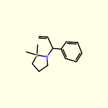 C=CC(c1ccccc1)N1CCC[Si]1(C)C